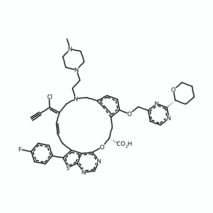 C#C/C(Cl)=C1\C=C/Cc2c(-c3ccc(F)cc3)sc3ncnc(c23)O[C@@H](C(=O)O)Cc2cc(ccc2OCc2ccnc([C@H]3CCCCO3)n2)CN(CCN2CCN(C)CC2)C1